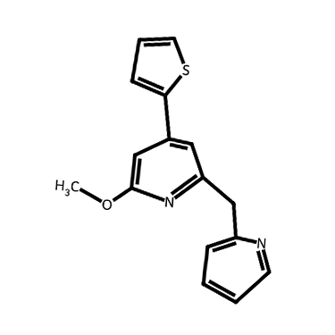 COc1cc(-c2cccs2)cc(Cc2ccccn2)n1